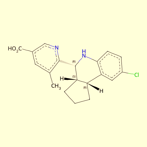 Cc1cc(C(=O)O)cnc1[C@@H]1Nc2ccc(Cl)cc2[C@@H]2CCC[C@@H]21